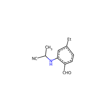 CCc1ccc(C=O)c(NC(C)C#N)c1